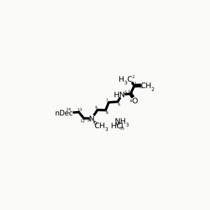 C=C(C)C(=O)NCCCCN(C)CCCCCCCCCCCC.Cl.N